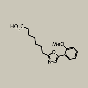 COc1ccccc1-c1cnc(CCCCCCC(=O)O)o1